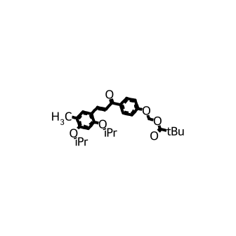 Cc1cc(/C=C/C(=O)c2ccc(OCOC(=O)C(C)(C)C)cc2)c(OC(C)C)cc1OC(C)C